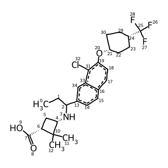 CCC(N[C@H]1C[C@@H](C(=O)O)C1(C)C)c1ccc2ccc(O[C@H]3CC[C@@H](C(F)(F)F)CC3)c(Cl)c2c1